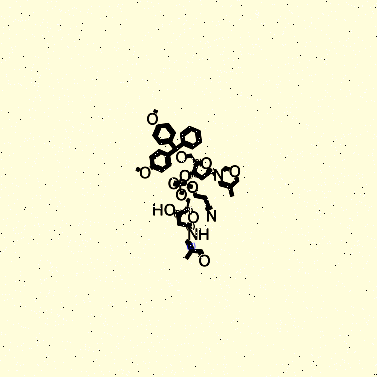 COc1ccc(C(OC[C@H]2O[C@@H](N3C=C(C)COC3)C[C@H]2OP(=O)(OCCC#N)OC[C@H]2O[C@@H](N/C=C(/C)C=O)C[C@H]2O)(c2ccccc2)c2ccc(OC)cc2)cc1